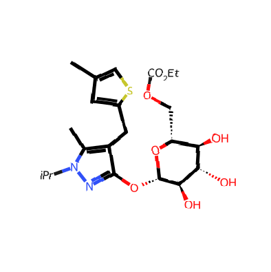 CCOC(=O)OC[C@H]1O[C@@H](Oc2nn(C(C)C)c(C)c2Cc2cc(C)cs2)[C@H](O)[C@@H](O)[C@@H]1O